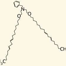 CCCCCC=CCC=CCCCCCCCCOCCN(CCOCCCCCCCCC=CCC=CCCCCC)Cc1ccccc1